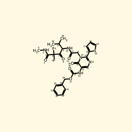 CNC(=O)C(F)(F)C(=O)C(NC(=O)Cn1c(-c2cccs2)ncc(NC(=O)OCc2ccccc2)c1=O)C(C)C